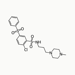 CN1CCN(CCCNS(=O)(=O)c2cc(S(=O)(=O)c3ccccc3)ccc2Cl)CC1